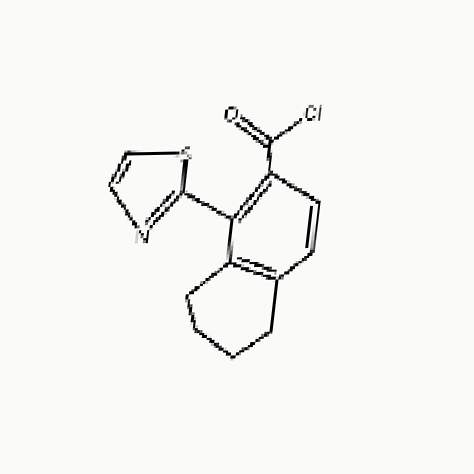 O=C(O)c1ccc2c(c1-c1nccs1)CCCC2